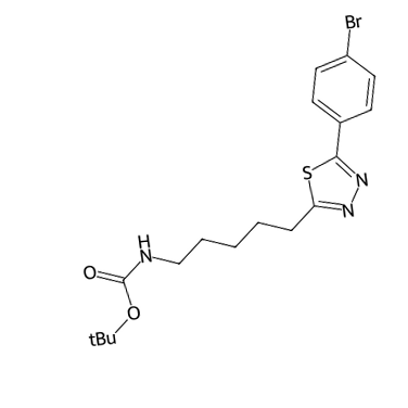 CC(C)(C)OC(=O)NCCCCCc1nnc(-c2ccc(Br)cc2)s1